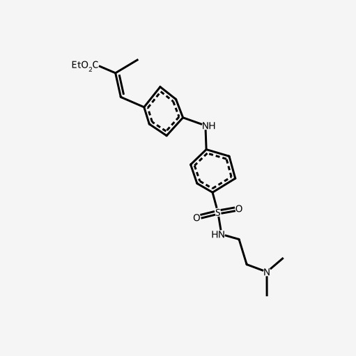 CCOC(=O)C(C)=Cc1ccc(Nc2ccc(S(=O)(=O)NCCN(C)C)cc2)cc1